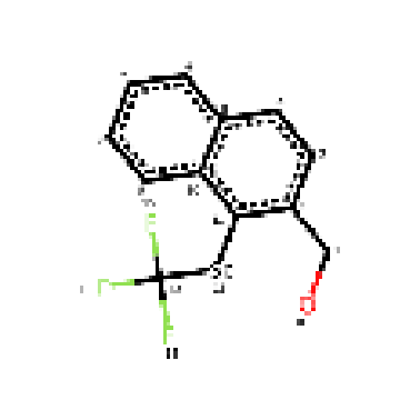 [O]Cc1ccc2ccccc2c1[Se]C(F)(F)F